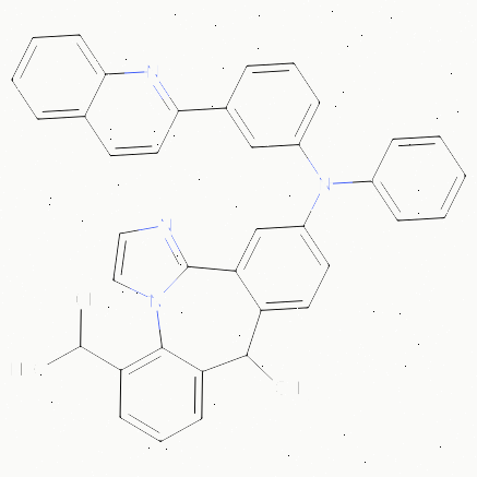 CC(C)c1cccc2c1-n1ccnc1-c1cc(N(c3ccccc3)c3cccc(-c4ccc5ccccc5n4)c3)ccc1C2C